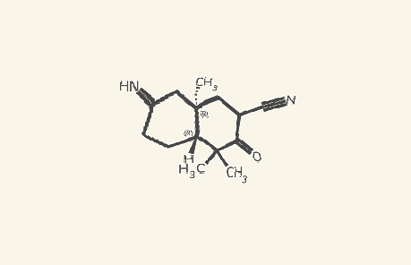 CC1(C)C(=O)C(C#N)C[C@]2(C)CC(=N)CC[C@@H]12